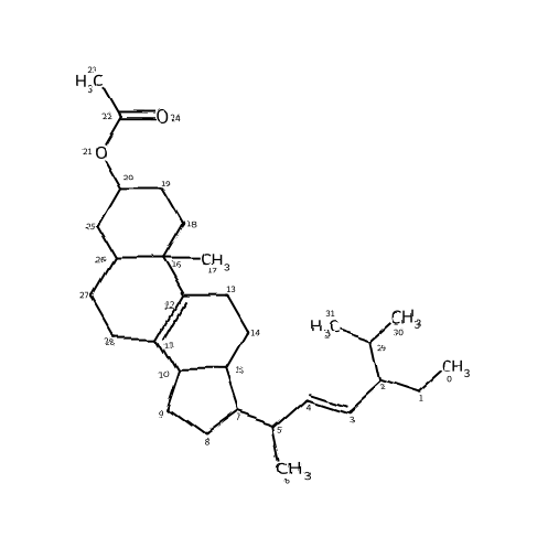 CCC(C=CC(C)C1CCC2C3=C(CCC21)C1(C)CCC(OC(C)=O)CC1CC3)C(C)C